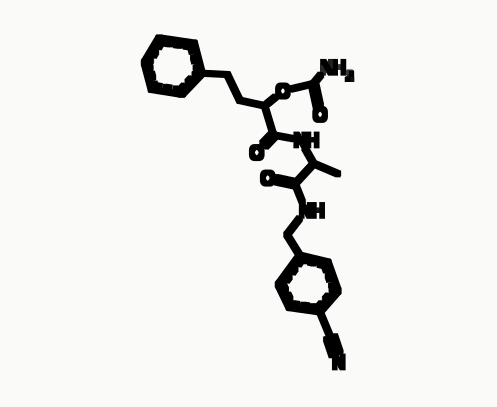 CC(NC(=O)C(CCc1ccccc1)OC(N)=O)C(=O)NCc1ccc(C#N)cc1